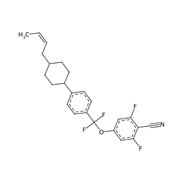 C/C=C\CC1CCC(c2ccc(C(F)(F)Oc3cc(F)c(C#N)c(F)c3)cc2)CC1